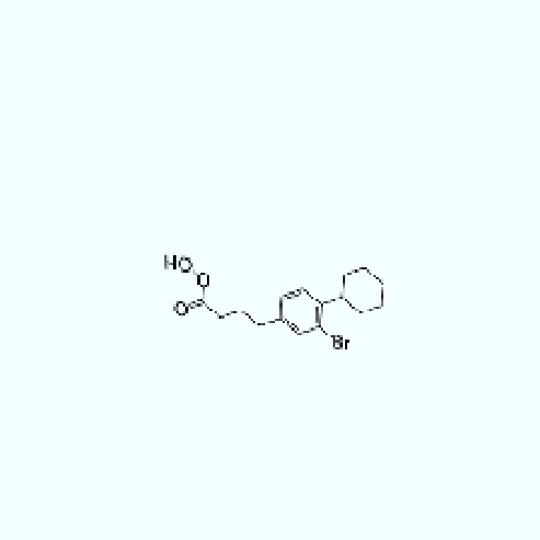 O=C(CCCc1ccc(C2CCCCC2)c(Br)c1)OO